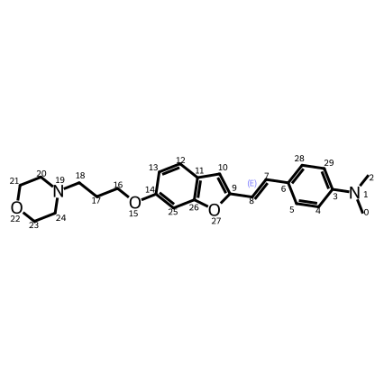 CN(C)c1ccc(/C=C/c2cc3ccc(OCCCN4CCOCC4)cc3o2)cc1